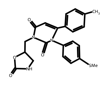 CSc1ccc(-n2c(-c3ccc(C)cc3)cc(=O)n(CC3CNC(=O)O3)c2=O)cc1